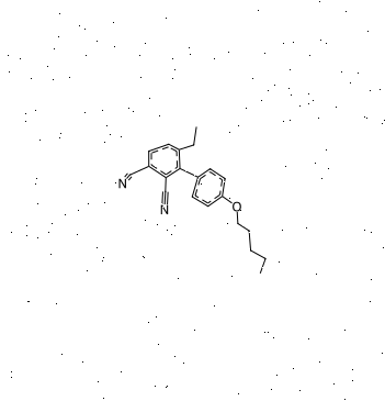 CCCCCOc1ccc(-c2c(CC)ccc(C#N)c2C#N)cc1